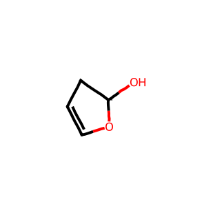 O[C]1CC=CO1